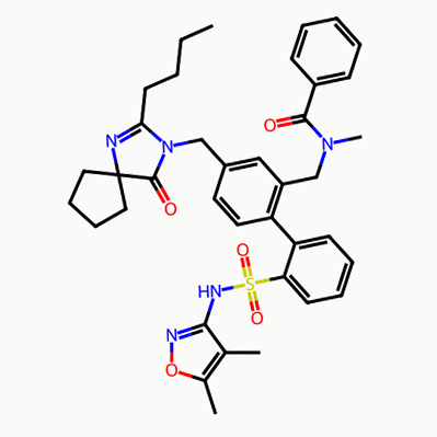 CCCCC1=NC2(CCCC2)C(=O)N1Cc1ccc(-c2ccccc2S(=O)(=O)Nc2noc(C)c2C)c(CN(C)C(=O)c2ccccc2)c1